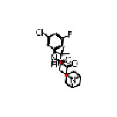 CC(C)(C)NC(=O)CN1C2CC(CC(=O)Nc3cc(F)cc(Cl)c3)CC1C2